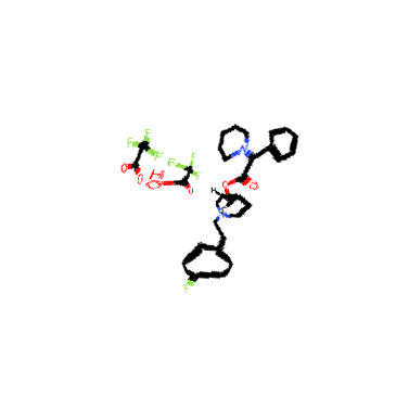 O=C(O)C(F)(F)F.O=C(O[C@H]1C[N+]2(CCc3ccc(F)cc3)CCC1CC2)C(c1ccccc1)N1CCCCC1.O=C([O-])C(F)(F)F